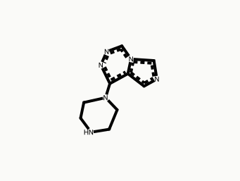 c1ncn2cnnc(N3CCNCC3)c12